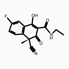 CCNC(=O)C1=C(O)c2cc(F)ccc2[C@@](C)(C#N)C1=O